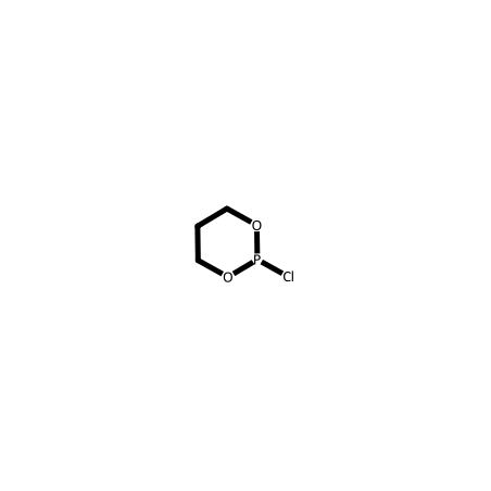 ClP1OCCCO1